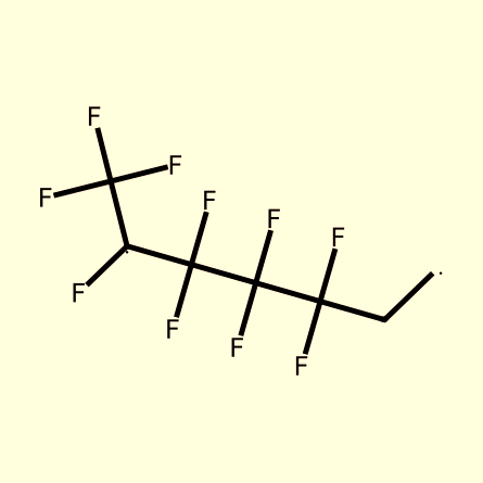 [CH2]CC(F)(F)C(F)(F)C(F)(F)[C](F)C(F)(F)F